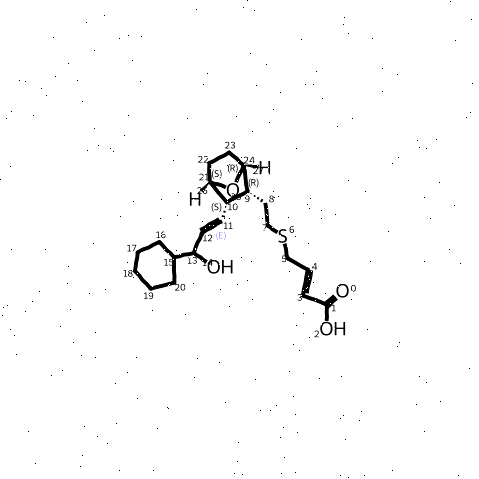 O=C(O)C=CCSCC[C@@H]1[C@H](/C=C/C(O)C2CCCCC2)[C@@H]2CC[C@H]1O2